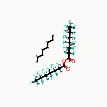 CCCCCCCC.O=C(OC(=O)C(F)(F)C(F)(F)C(F)(F)C(F)(F)C(F)(F)C(F)(F)F)C(F)(F)C(F)(F)C(F)(F)C(F)(F)C(F)(F)C(F)(F)F